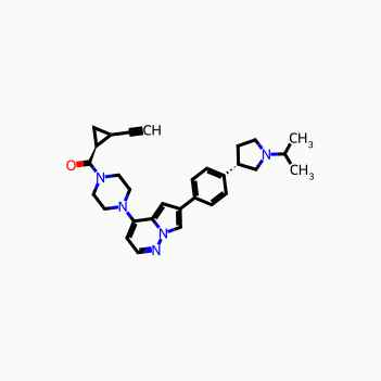 C#CC1C[C@@H]1C(=O)N1CCN(c2ccnn3cc(-c4ccc([C@@H]5CCN(C(C)C)C5)cc4)cc23)CC1